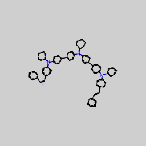 C(=Cc1ccc(N(c2ccccc2)c2ccc(-c3ccc(N(c4ccc(-c5ccc(N(c6ccccc6)c6ccc(/C=C\c7ccccc7)cc6)cc5)cc4)C4CCCCC4)cc3)cc2)cc1)c1ccccc1